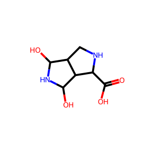 O=C(O)C1NCC2C(O)NC(O)C12